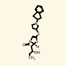 CC[C@H](O)[C@@H]1C(=O)N2C=C(SC3CCN(C4Cc5ccccc5C4)C3)S[C@H]12